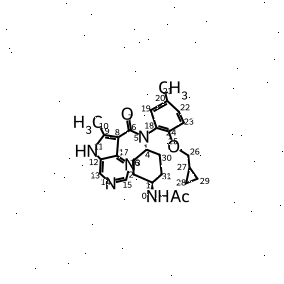 CC(=O)N[C@H]1CC[C@H](N(C(=O)c2c(C)[nH]c3cncnc23)c2cc(C)ccc2OCC2CC2)CC1